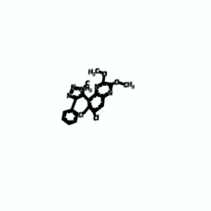 COc1nc2cc(Cl)c(Cl)c(-c3c(-c4ccccc4)nnn3C)c2nc1OC